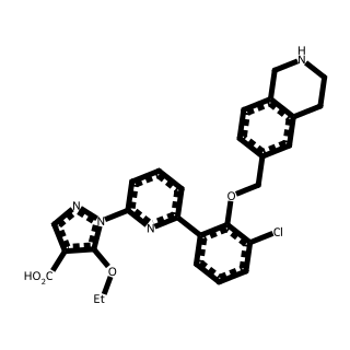 CCOc1c(C(=O)O)cnn1-c1cccc(-c2cccc(Cl)c2OCc2ccc3c(c2)CCNC3)n1